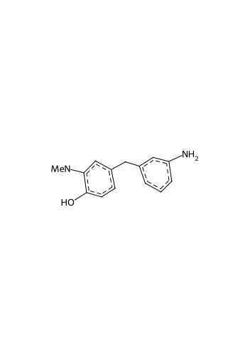 CNc1cc(Cc2cccc(N)c2)ccc1O